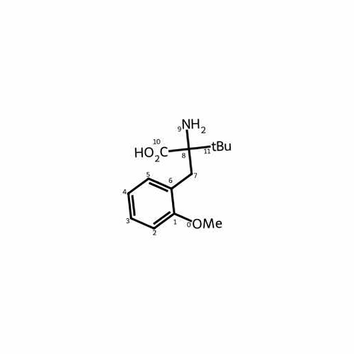 COc1ccccc1CC(N)(C(=O)O)C(C)(C)C